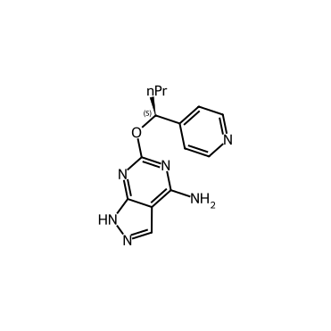 CCC[C@H](Oc1nc(N)c2cn[nH]c2n1)c1ccncc1